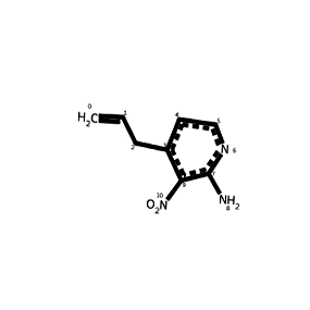 C=CCc1ccnc(N)c1[N+](=O)[O-]